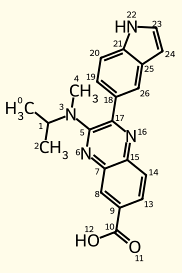 CC(C)N(C)c1nc2cc(C(=O)O)ccc2nc1-c1ccc2[nH]ccc2c1